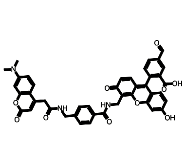 CN(C)c1ccc2c(CC(=O)NCc3ccc(C(=O)NCc4c5oc6cc(O)ccc6c(-c6ccc(C=O)cc6C(=O)O)c-5ccc4=O)cc3)cc(=O)oc2c1